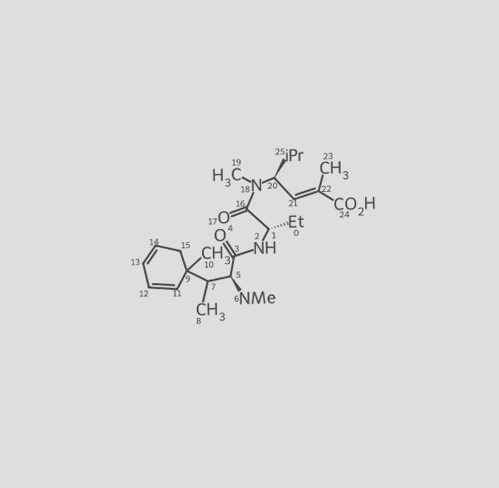 CC[C@H](NC(=O)[C@@H](NC)C(C)C1(C)C=CC=CC1)C(=O)N(C)[C@H](/C=C(\C)C(=O)O)C(C)C